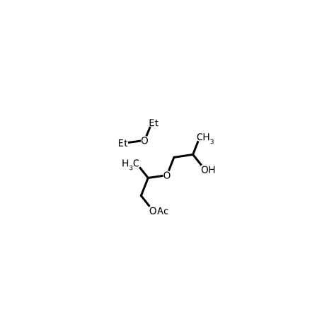 CC(=O)OCC(C)OCC(C)O.CCOCC